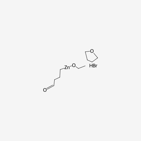 Br.C1CCOC1.CC[O][Zn][CH2]CCC=O